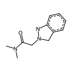 CN(C)C(=O)CN1Cc2ccccc2[N]1